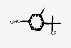 CC(C)(C#N)c1ccc(C=O)cc1F